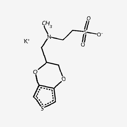 CN(CCS(=O)(=O)[O-])CC1COc2cscc2O1.[K+]